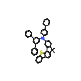 CC1(C)c2ccc(N(c3ccc(-c4ccccc4)cc3)c3cc(-c4ccccc4)cc(-c4ccccc4)c3)cc2-c2c1ccc1c2sc2ccccc21